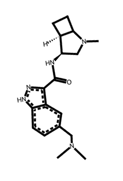 CN(C)Cc1ccc2[nH]nc(C(=O)N[C@@H]3CN(C)C4CC[C@@H]43)c2c1